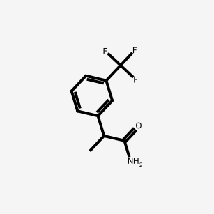 CC(C(N)=O)c1cccc(C(F)(F)F)c1